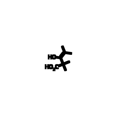 CC(C)=C(O)C(C)(C)C(=O)O